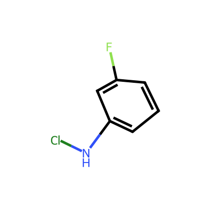 Fc1cccc(NCl)c1